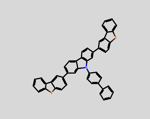 c1ccc(-c2ccc(-n3c4cc(-c5ccc6sc7ccccc7c6c5)ccc4c4ccc(-c5ccc6sc7ccccc7c6c5)cc43)cc2)cc1